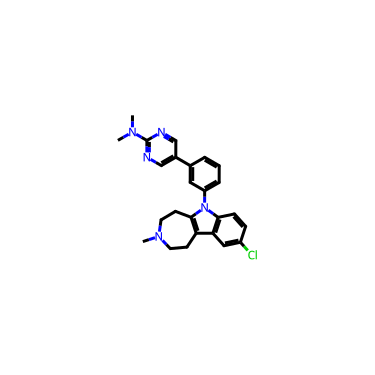 CN1CCc2c(n(-c3cccc(-c4cnc(N(C)C)nc4)c3)c3ccc(Cl)cc23)CC1